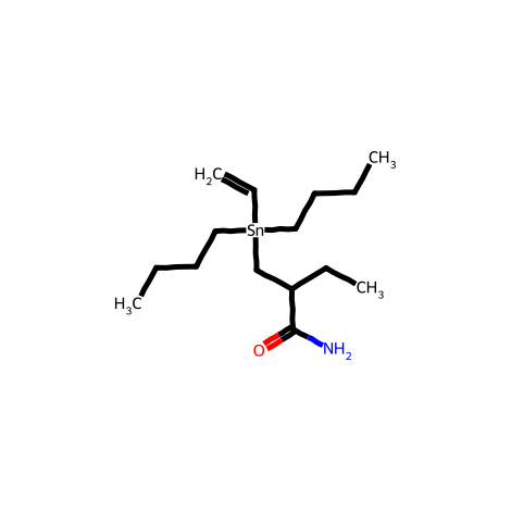 C=[CH][Sn]([CH2]CCC)([CH2]CCC)[CH2]C(CC)C(N)=O